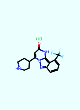 Cl.O=c1cc(C2CCNCC2)n2nc3cccc(C(F)(F)F)c3c2[nH]1